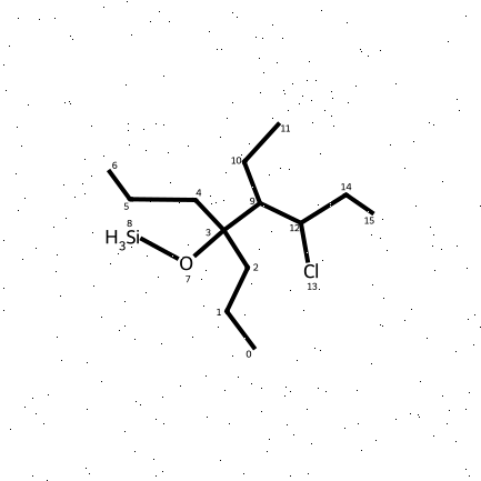 CCCC(CCC)(O[SiH3])C(CC)C(Cl)CC